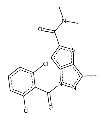 CN(C)C(=O)c1cc2c(s1)c(I)nn2C(=O)c1c(Cl)cccc1Cl